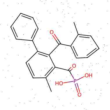 Cc1ccccc1C(=O)c1c(-c2ccccc2)ccc(C)c1C(=O)P(=O)(O)O